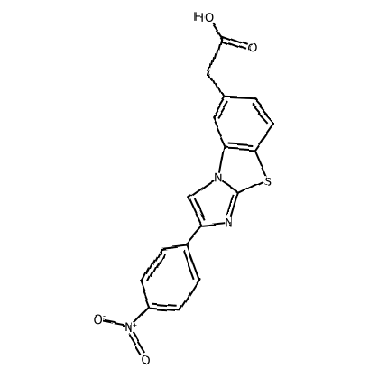 O=C(O)Cc1ccc2sc3nc(-c4ccc([N+](=O)[O-])cc4)cn3c2c1